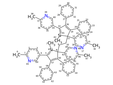 Cc1ccc(C2=[Si](C)C(CCC3(c4ccc(C)nc4)C(c4ccccc4)=C(c4ccccc4)C(c4ccc(C)nc4)=[Si]3C)(c3ccc(C)nc3)C(c3ccccc3)=C2c2ccccc2)cn1